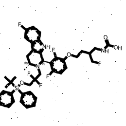 C[C@@H]1Cc2c([nH]c3ccc(F)cc23)[C@@H](c2c(F)ccc(OCCC(CF)CNC(=O)O)c2F)N1CC(F)(F)CO[Si](c1ccccc1)(c1ccccc1)C(C)(C)C